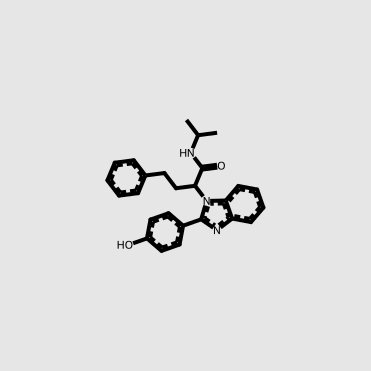 CC(C)NC(=O)C(CCc1ccccc1)n1c(-c2ccc(O)cc2)nc2ccccc21